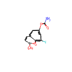 NC(=O)Oc1cc(F)c2c(c1)C=CB(O)O2